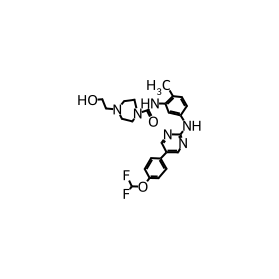 Cc1ccc(Nc2ncc(-c3ccc(OC(F)F)cc3)cn2)cc1NC(=O)N1CCN(CCO)CC1